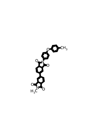 Cc1ccc(Oc2ccc(N3C(=O)C4C=CC(C5=CC6C(=O)N(C)C(=O)C6C=C5)=CC4C3=O)cc2)cc1